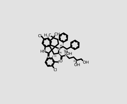 CC1(C)CCC2(CC1)N([C@H](c1ccccc1)[C@@H](O)c1ccccc1)[C@@H](C(=O)NCC[C@H](O)CO)[C@H](c1cccc(Cl)c1F)C21C(=O)Nc2cc(Cl)ccc21